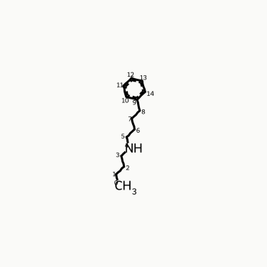 CCCCNCCCCc1ccccc1